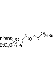 CCCCCC(CCC)(OCCOCCOCCCC)C(=O)OCC